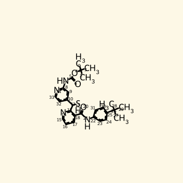 CC(C)(C)OC(=O)Nc1cc(C(S)c2ncccc2C(=O)Nc2ccc(C(C)(C)C)cc2)ccn1